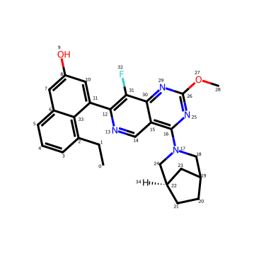 CCc1cccc2cc(O)cc(-c3ncc4c(N5CC6CC[C@H](C6)C5)nc(OC)nc4c3F)c12